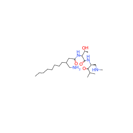 CCCCCCCCC(CN)CC(=O)N[C@H](C(=O)N[C@@H](CNC)C(=O)C(C)C)[C@H](C)O